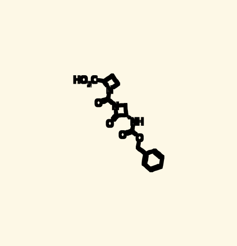 O=C(N[C@H]1CN(C(=O)N2CCC2C(=O)O)C1=O)OCc1ccccc1